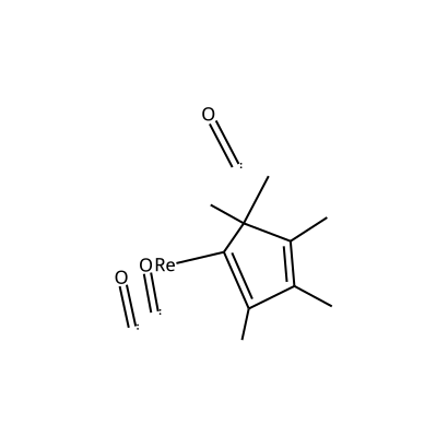 CC1=C(C)C(C)(C)[C]([Re])=C1C.[C]=O.[C]=O.[C]=O